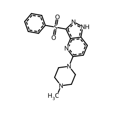 CN1CCN(c2ccc3[nH]nc(S(=O)(=O)c4ccccc4)c3n2)CC1